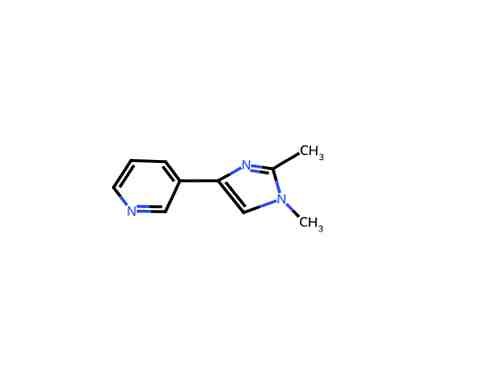 Cc1nc(-c2cccnc2)cn1C